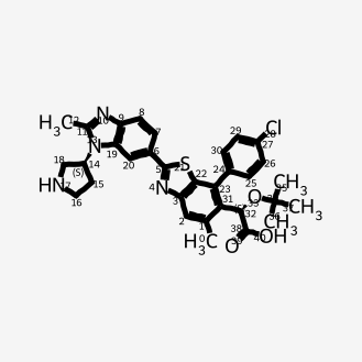 Cc1cc2nc(-c3ccc4nc(C)n([C@H]5CCNC5)c4c3)sc2c(-c2ccc(Cl)cc2)c1[C@H](OC(C)(C)C)C(=O)O